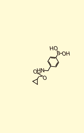 O=S(=O)(NCc1ccc(B(O)O)cc1)C1CC1